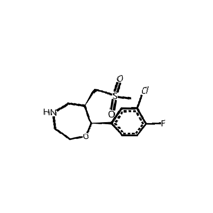 CS(=O)(=O)C[C@@H]1CNCCO[C@@H]1c1ccc(F)c(Cl)c1